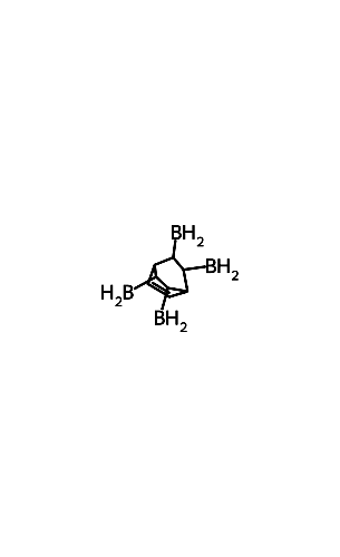 BC1C(B)C2C=CC1C(B)C2B